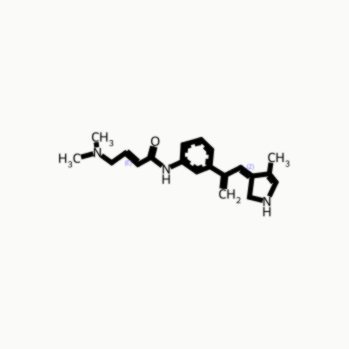 C=C(/C=C1\CNC=C1C)c1cccc(NC(=O)/C=C/CN(C)C)c1